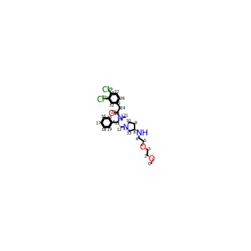 COCCOCCN[C@H]1CCN(C[C@H](c2ccccc2)N(C)C(=O)Cc2ccc(Cl)c(Cl)c2)C1